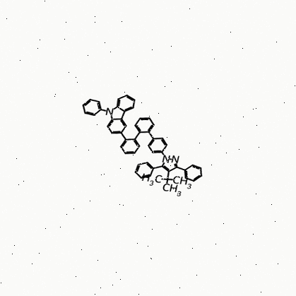 CC(C)(C)c1c(-c2ccccc2)nn(-c2ccc(-c3ccccc3-c3ccccc3-c3ccc4c(c3)c3ccccc3n4-c3ccccc3)cc2)c1-c1ccccc1